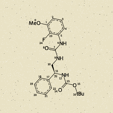 COc1cccc(NC(=O)NC[C@@H](NC(=O)OC(C)(C)C)c2ccccc2)c1F